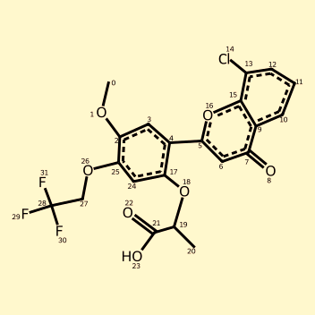 COc1cc(-c2cc(=O)c3cccc(Cl)c3o2)c(OC(C)C(=O)O)cc1OCC(F)(F)F